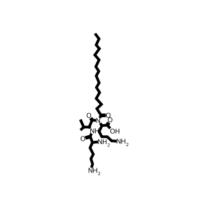 CCCCCCCCCCCCCCCC(=O)N(C(=O)C(NC(=O)C(N)CCCCN)C(C)C)C(CCCCN)C(=O)O